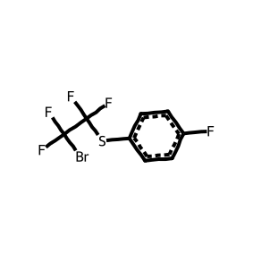 Fc1ccc(SC(F)(F)C(F)(F)Br)cc1